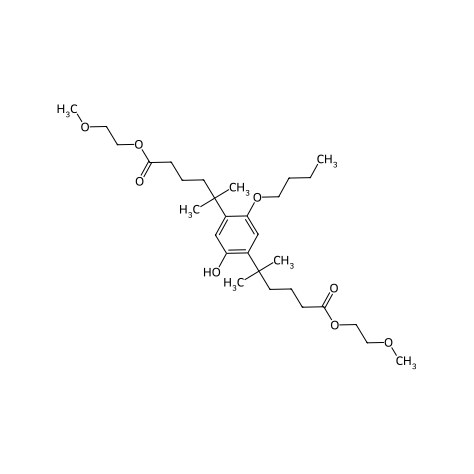 CCCCOc1cc(C(C)(C)CCCC(=O)OCCOC)c(O)cc1C(C)(C)CCCC(=O)OCCOC